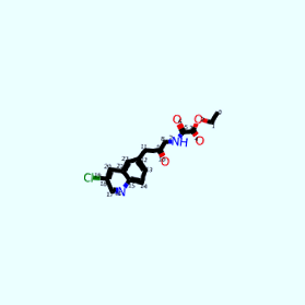 CCOC(=O)C(=O)NCC(=O)Cc1ccc2ncc(Cl)cc2c1